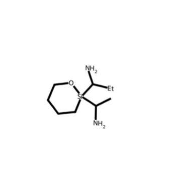 CCC(N)[Si]1(C(C)N)CCCCO1